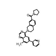 Cc1cc(-c2cccnc2)cc2c(N3CCc4ccc(C(=O)N5CCCC5)cc4C3)ncnc12